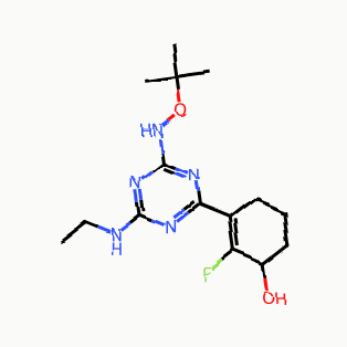 CCNc1nc(NOC(C)(C)C)nc(C2=C(F)C(O)CCC2)n1